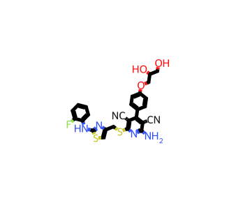 N#Cc1c(N)nc(SCc2csc(Nc3ccccc3F)n2)c(C#N)c1-c1ccc(OCC(O)CO)cc1